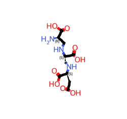 N[C@H](CN[C@@H](CN[C@@H](CC(=O)O)C(=O)O)C(=O)O)C(=O)O